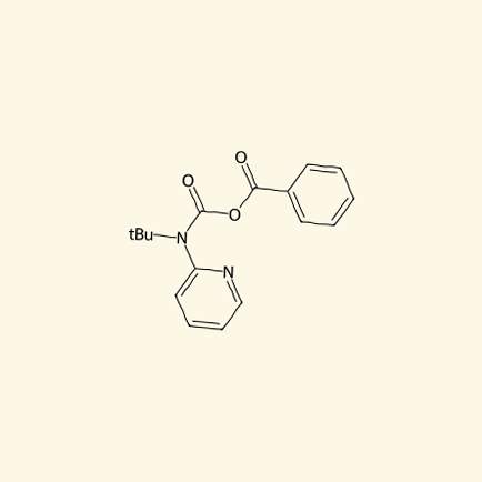 CC(C)(C)N(C(=O)OC(=O)c1ccccc1)c1ccccn1